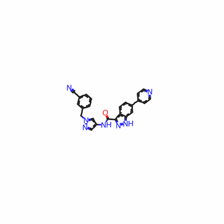 N#Cc1cccc(Cn2cc(NC(=O)c3n[nH]c4cc(-c5ccncc5)ccc34)cn2)c1